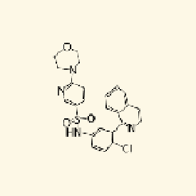 O=S(=O)(Nc1ccc(Cl)c(-c2nccc3ccccc23)c1)c1ccc(N2CCOCC2)nc1